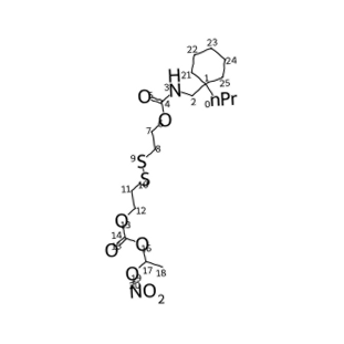 CCCC1(CNC(=O)OCCSSCCOC(=O)OC(C)O[N+](=O)[O-])CCCCC1